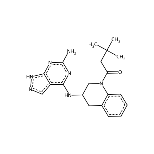 CC(C)(C)CC(=O)N1CC(Nc2nc(N)nc3[nH]ncc23)Cc2ccccc21